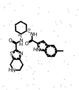 Cc1ccc2[nH]c(C(=O)N[C@H]3CCCC[C@H]3NC(=O)c3nc4c(s3)CNCC4)cc2c1